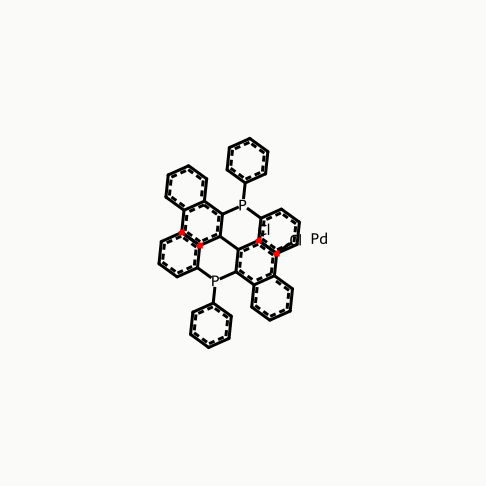 Clc1c(-c2ccc3ccccc3c2P(c2ccccc2)c2ccccc2)c(P(c2ccccc2)c2ccccc2)c2ccccc2c1Cl.[Pd]